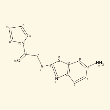 Nc1ccc2nc(SCC(=O)n3cccc3)sc2c1